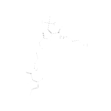 Cc1cc(Cl)c(C(=O)NOCCOCc2cc(C(F)(F)F)c(C(=O)NOCCO)s2)s1